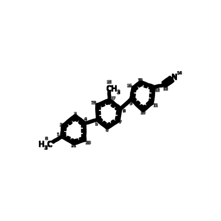 Cc1ccc(-c2ccc(-c3ccc(C#N)cc3)c(C)c2)cc1